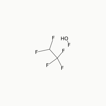 FC(F)C(F)(F)F.OF